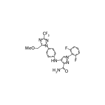 COCc1nc(C(F)(F)F)nn1-c1ccc(Nc2cn(-c3c(F)cccc3F)nc2C(N)=O)cc1